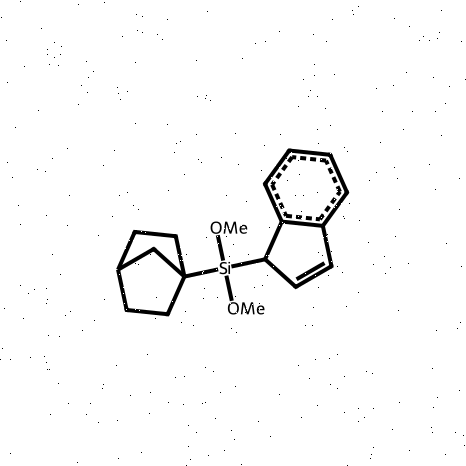 CO[Si](OC)(C1C=Cc2ccccc21)C12CCC(CC1)C2